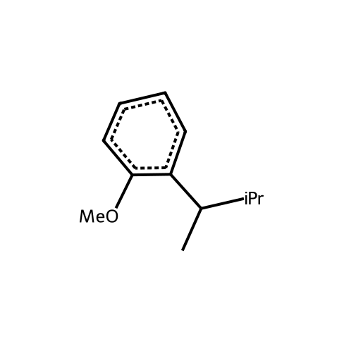 COc1ccccc1C(C)C(C)C